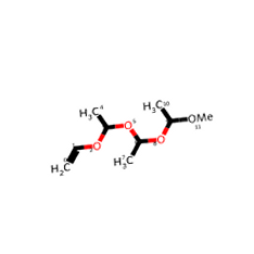 C=COC(C)OC(C)OC(C)OC